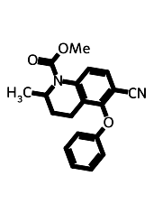 COC(=O)N1c2ccc(C#N)c(Oc3ccccc3)c2CCC1C